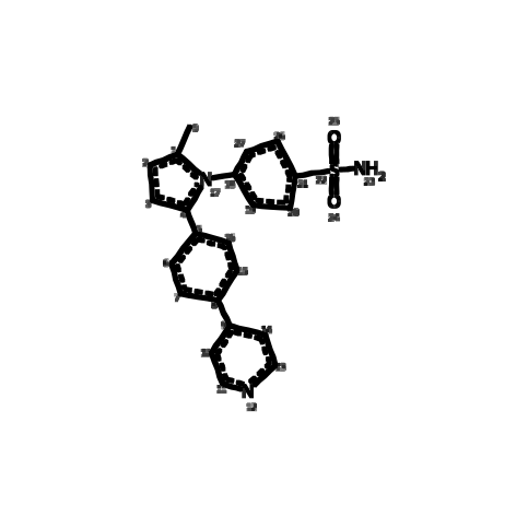 Cc1ccc(-c2ccc(-c3ccncc3)cc2)n1-c1ccc(S(N)(=O)=O)cc1